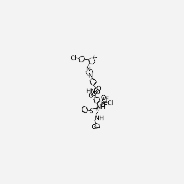 CC1(C)CCC(CN2CCN(c3ccc(C(=O)NS(=O)(=O)c4ccc(N[C@H](CCNCC5CC=CO5)CSc5ccccc5)c(S(=O)(=O)C(F)(F)Cl)c4)cc3)CC2)=C(c2ccc(Cl)cc2)C1